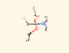 CCOC(CO)(OCC)N(C)C